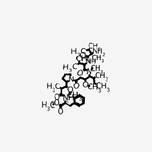 CCC(C)C(C(CC(=O)N1CCCC1C(OC)C(C)C(=O)N[C@@H](Cc1ccccc1)C(=O)OC)OC)N(C)C(=O)C(NC(=O)C(C)(N)C(C)C)C(C)C